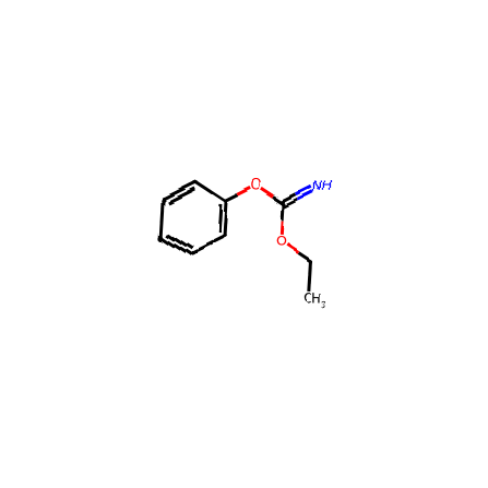 CCOC(=N)Oc1ccccc1